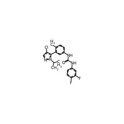 Cc1ccc(NC(=O)Nc2ccc(F)c(F)c2)cc1-c1c(Cl)cnn1C(C)C